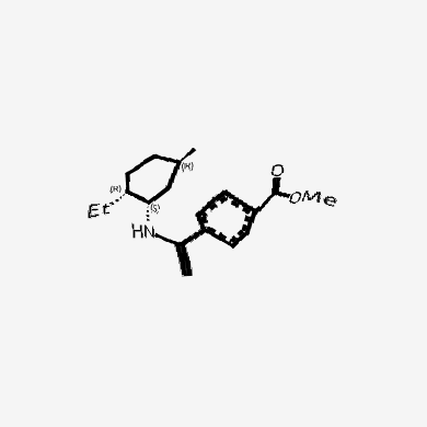 C=C(N[C@H]1C[C@H](C)CC[C@H]1CC)c1ccc(C(=O)OC)cc1